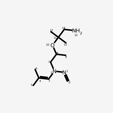 C=NN(C=C(C)C)CC(C)OC(C)(C)CN